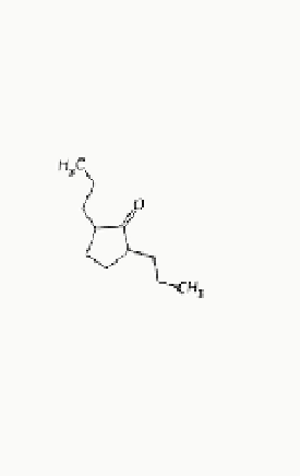 CCCC1CCC(CCC)C1=O